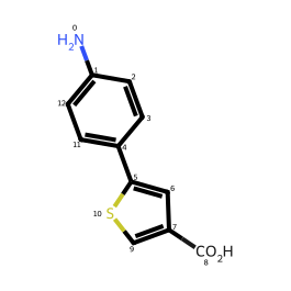 Nc1ccc(-c2cc(C(=O)O)cs2)cc1